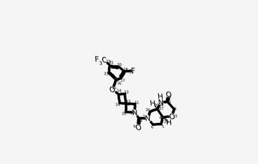 O=C1CO[C@H]2CCN(C(=O)N3CC4(CC(Oc5cc(F)cc(C(F)(F)F)c5)C4)C3)C[C@H]2N1